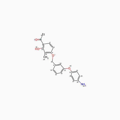 CCC(=O)c1ccc(OCc2cccc(Oc3ccc(N)cc3)c2)c(C)c1O